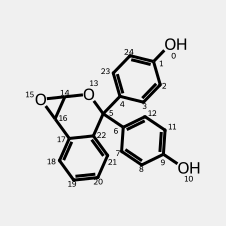 Oc1ccc(C2(c3ccc(O)cc3)OC3OC3c3ccccc32)cc1